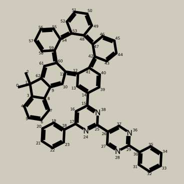 CC1(C)c2ccccc2-c2cc3c4cc(-c5cc(-c6ccccc6)nc(-c6cnc(-c7ccccc7)nc6)n5)ccc4c4ccccc4c4ccccc4c4ccccc4c3cc21